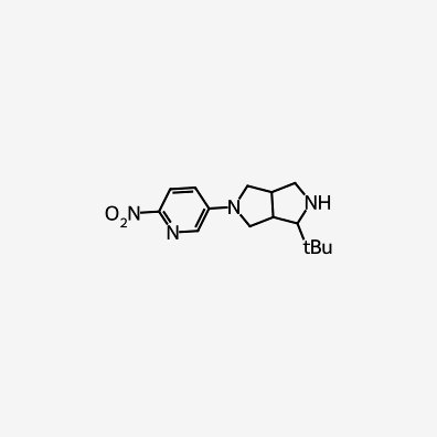 CC(C)(C)C1NCC2CN(c3ccc([N+](=O)[O-])nc3)CC21